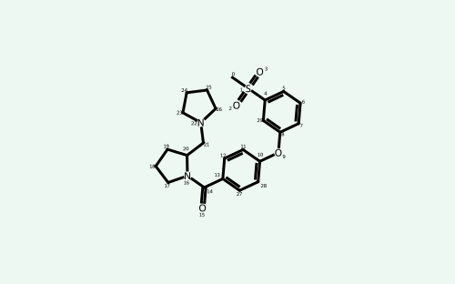 CS(=O)(=O)c1cccc(Oc2ccc(C(=O)N3CCCC3CN3CCCC3)cc2)c1